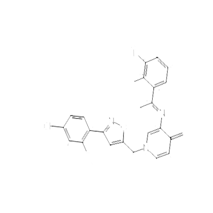 C=C1C=CN(Cc2cc(-c3ccc(Cl)cc3F)no2)C=C1/N=C(\C)c1cccc(F)c1F